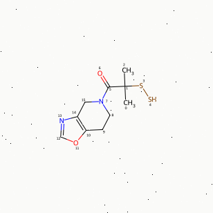 CC(C)(SS)C(=O)N1CCc2ocnc2C1